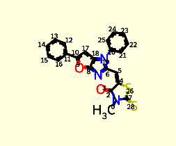 CN1C(=O)/C(=C\c2nc3oc(-c4ccccc4)cc3n2-c2ccccc2)SC1=S